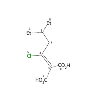 CCC(CC)CC(Cl)=C(C(=O)O)C(=O)O